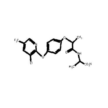 CC(NC(=O)C(C)Oc1ccc(Oc2ncc(C(F)(F)F)cc2Cl)cc1)C(=O)O